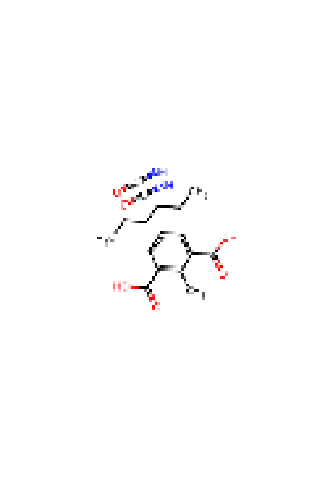 CCCCCC.Cc1c(C(=O)O)cccc1C(=O)O.N=C=O.N=C=O